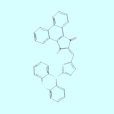 O=C1C(=Cc2ccc(N3c4ccccc4Sc4ccccc43)[se]2)C(=O)c2c1c1ccccc1c1ccccc21